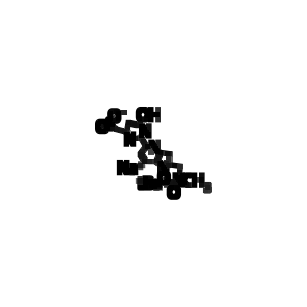 CN(Cc1cc2nc(-c3nc(O)cc(CS(=O)[O-])n3)ccc2[nH]1)C(=O)OC(C)(C)C.[Na+]